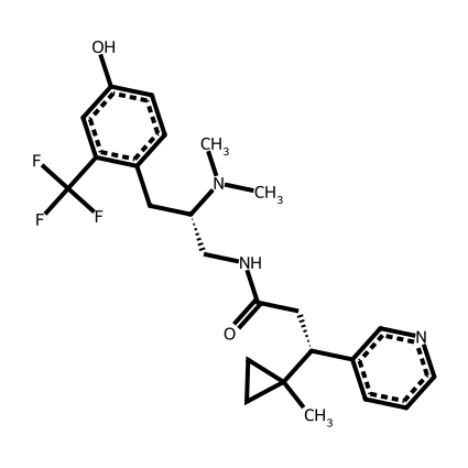 CN(C)[C@H](CNC(=O)C[C@H](c1cccnc1)C1(C)CC1)Cc1ccc(O)cc1C(F)(F)F